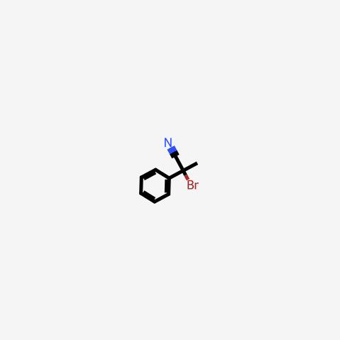 CC(Br)(C#N)c1ccccc1